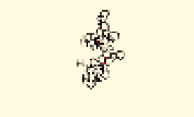 Cc1cc(-c2ccc(N(c3c(C)cccc3-c3ccc4sc5ccccc5c4c3)c3cccc4c3sc3ccccc34)c(C)c2)ccc1N(c1c(C)cccc1-c1ccc2sc3ccccc3c2c1)c1cccc2c1sc1ccccc12